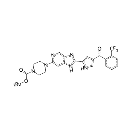 CC(C)(C)OC(=O)N1CCN(c2cc3[nH]c(-c4cc(C(=O)c5ccccc5C(F)(F)F)c[nH]4)nc3cn2)CC1